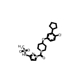 CS(=O)(=O)Nc1ccn(C(=O)N2CCC(Oc3ccc(Cl)c(C4CCCC4)c3)CC2)n1